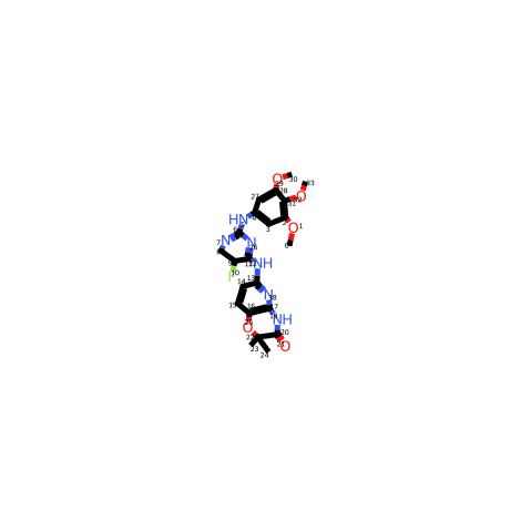 COc1cc(NC2=NCC(F)C(Nc3ccc4c(n3)NC(=O)C(C)(C)O4)=N2)cc(OC)c1OC